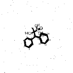 CC(O)(C(c1ccccc1)c1ccccc1)P(=O)(O)O